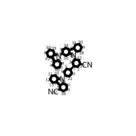 N#Cc1cc(-c2ccc(-n3c4ccccc4c4c(C#N)cccc43)cc2)cc(-n2c3ccccc3c3ccc(-n4c5ccccc5c5ccccc54)cc32)c1